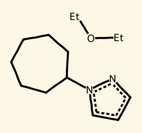 CCOCC.c1cnn(C2CCCCCC2)c1